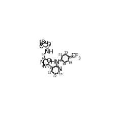 CC(C)(C)OC(=O)NCc1nnc(-c2cccnc2Nc2ccc(C(F)(F)F)cc2)o1